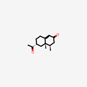 CC(=O)[C@@H]1CCC2=CC(=O)C[C@@H](C)[C@]2(C)C1